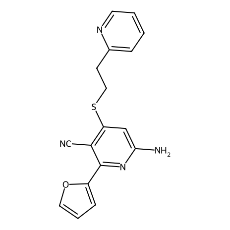 N#Cc1c(SCCc2ccccn2)cc(N)nc1-c1ccco1